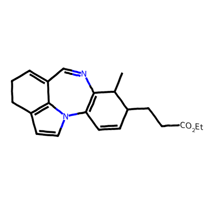 CCOC(=O)CCC1C=CC2=C(N=CC3=CCCc4ccn2c43)C1C